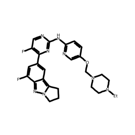 CCN1CCN(COc2ccc(Nc3ncc(F)c(-c4cc(F)c5nn6c(c5c4)CCC6)n3)nc2)CC1